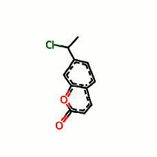 CC(Cl)c1ccc2ccc(=O)oc2c1